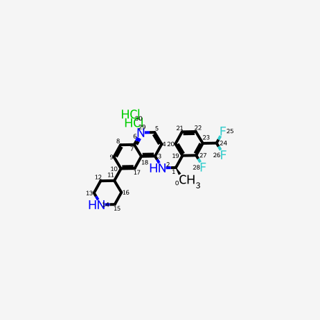 C[C@@H](Nc1ccnc2ccc(C3CCNCC3)cc12)c1cccc(C(F)F)c1F.Cl.Cl